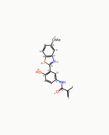 C=C(C)C(=O)Nc1ccc(O)c(-c2nc3cc(OC)ccc3s2)c1